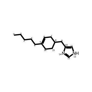 CCCCCC1=CCC(Cc2c[nH]cn2)CC1